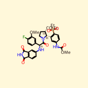 CCOC(=O)[C@H]1CCN(C(=O)[C@@H](Nc2ccc3c(c2)C(=O)NC3=O)c2ccc(F)c(OC)c2)[C@H]1c1cc(NC(=O)OC)ccc1S(=O)(=O)CC